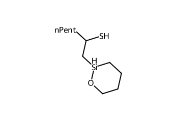 CCCCCC(S)C[SiH]1CCCCO1